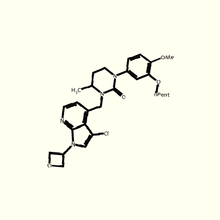 CCCCCOc1cc(N2CCC(C)N(Cc3ccnc4c3c(Cl)cn4C3COC3)C2=O)ccc1OC